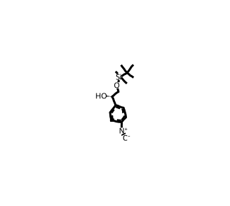 [C-]#[N+]c1ccc([C@H](O)CO[Si](C)(C)C(C)(C)C)cc1